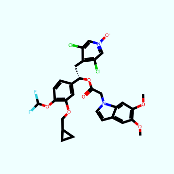 COc1cc2ccn(CC(=O)O[C@@H](Cc3c(Cl)c[n+]([O-])cc3Cl)c3ccc(OC(F)F)c(OCC4CC4)c3)c2cc1OC